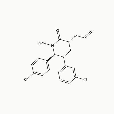 C=CC[C@@H]1CC(c2cccc(Cl)c2)[C@@H](c2ccc(Cl)cc2)N(CCC)C1=O